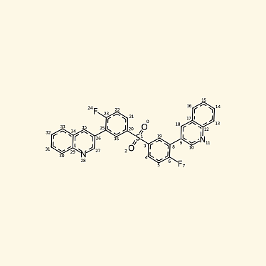 O=S(=O)(c1ccc(F)c(-c2cnc3ccccc3c2)c1)c1ccc(F)c(-c2cnc3ccccc3c2)c1